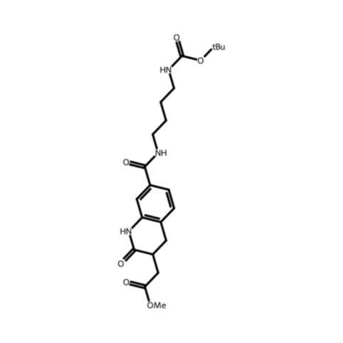 COC(=O)CC1Cc2ccc(C(=O)NCCCCNC(=O)OC(C)(C)C)cc2NC1=O